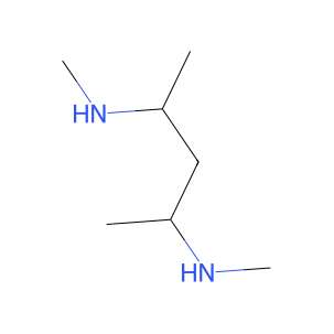 CNC(C)CC(C)NC